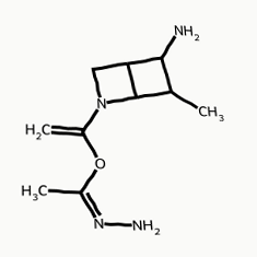 C=C(O/C(C)=N\N)N1CC2C(N)C(C)C21